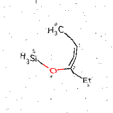 CC=C(CC)O[SiH3]